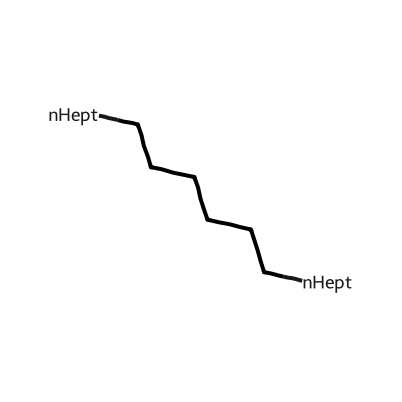 [CH]CCCCCCCCCCCCCCCCCCC